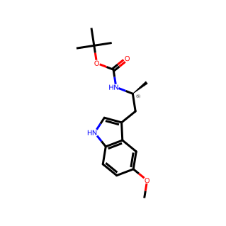 COc1ccc2[nH]cc(C[C@H](C)NC(=O)OC(C)(C)C)c2c1